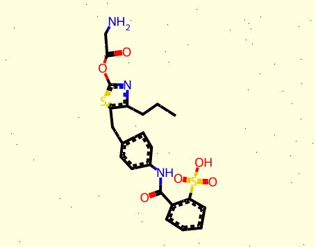 CCCc1nc(OC(=O)CN)sc1Cc1ccc(NC(=O)c2ccccc2S(=O)(=O)O)cc1